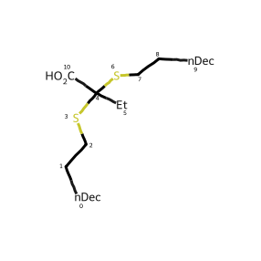 CCCCCCCCCCCCSC(CC)(SCCCCCCCCCCCC)C(=O)O